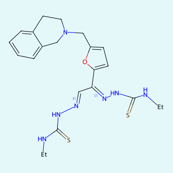 CCNC(=S)N/N=C(/C=N/NC(=S)NCC)c1ccc(CN2CCc3ccccc3C2)o1